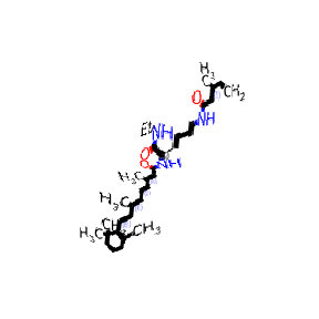 C=C/C(C)=C/C(=O)NCCCC[C@H](NC(=O)/C=C(C)/C=C/C=C(C)/C=C/C1=C(C)CCCC1(C)C)C(=O)NCC